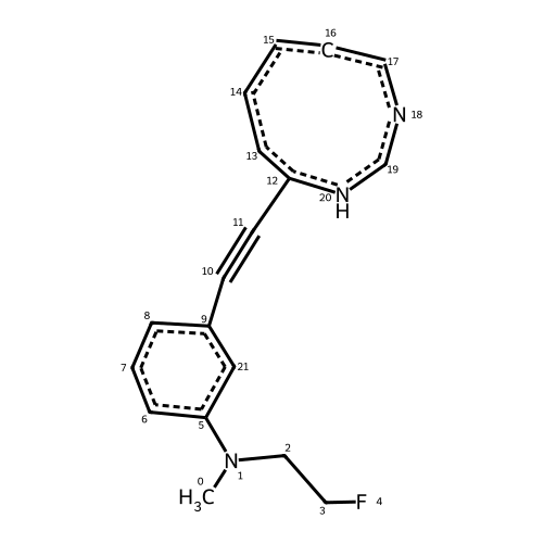 CN(CCF)c1cccc(C#Cc2cccccnc[nH]2)c1